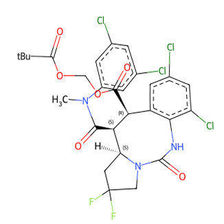 CN(C(=O)[C@H]1[C@@H](C(=O)OCOC(=O)C(C)(C)C)c2cc(Cl)cc(Cl)c2NC(=O)N2CC(F)(F)C[C@@H]12)c1cc(Cl)cc(Cl)c1